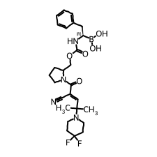 CC(C)(C=C(C#N)C(=O)N1CCCC1COC(=O)N[C@@H](Cc1ccccc1)B(O)O)N1CCC(F)(F)CC1